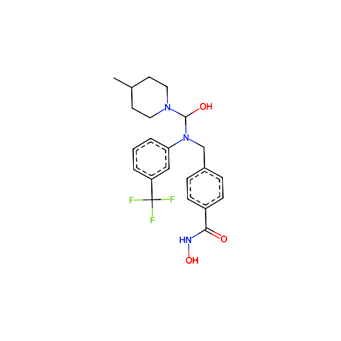 CC1CCN(C(O)N(Cc2ccc(C(=O)NO)cc2)c2cccc(C(F)(F)F)c2)CC1